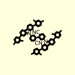 Cc1ccc(-c2ccc3c4ccc(-c5ccc(C)cc5C)cc4n(-c4ccc(C#N)c(-c5cc(-n6c7cc(-c8ccc(C)cc8C)ccc7c7ccc(-c8ccc(C)cc8C)cc76)ccc5C#N)c4)c3c2)c(C)c1